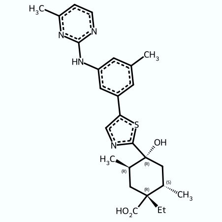 CC[C@@]1(C(=O)O)C[C@@H](C)[C@@](O)(c2ncc(-c3cc(C)cc(Nc4nccc(C)n4)c3)s2)C[C@@H]1C